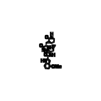 COc1cccc2[nH]c(C(=O)NC(CC3CC3)C(=O)NC(C[C@@H]3CCCNC3=O)C(N)=O)cc12